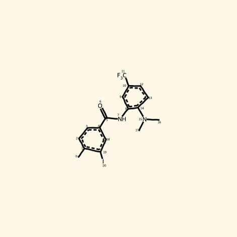 Cc1ccc(C(=O)Nc2cc(C(F)(F)F)ccc2N(C)C)cc1I